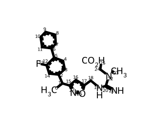 CC(c1ccc(-c2ccccc2)c(F)c1)c1cc(CNC(=N)N(C)CC(=O)O)on1